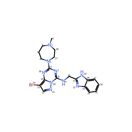 CN1CCCN(c2nc(NCc3nc4ccccc4[nH]3)n3ncc(Br)c3n2)CC1